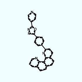 c1cnc2c(c1)ccc1ccc3ccc(-c4ccc(-c5nnc(-c6ccncc6)o5)cc4)nc3c12